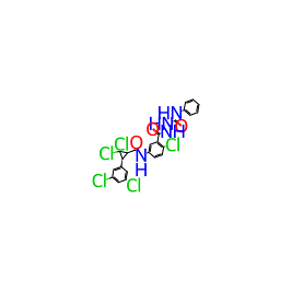 O=C(NNC(=O)c1cc(NC(=O)C2[C@@H](c3cc(Cl)cc(Cl)c3)C2(Cl)Cl)ccc1Cl)Nc1ccccc1